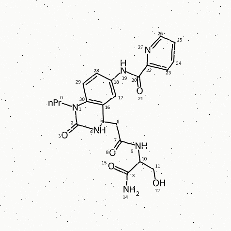 CCCN1C(=O)NC(CC(=O)NC(CO)C(N)=O)c2cc(NC(=O)c3ccccn3)ccc21